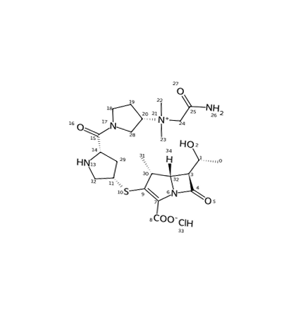 C[C@@H](O)[C@H]1C(=O)N2C(C(=O)[O-])=C(S[C@@H]3CN[C@H](C(=O)N4CC[C@H]([N+](C)(C)CC(N)=O)C4)C3)[C@H](C)[C@H]12.Cl